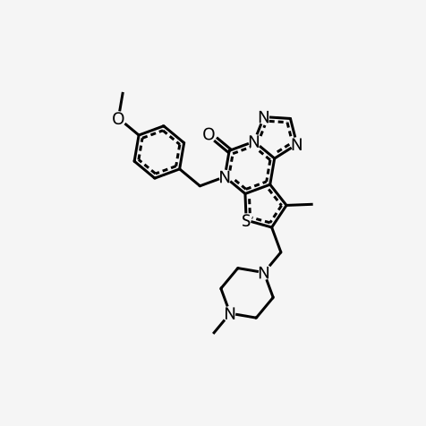 COc1ccc(Cn2c(=O)n3ncnc3c3c(C)c(CN4CCN(C)CC4)sc32)cc1